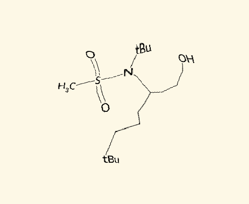 CC(C)(C)CCC(CO)N(C(C)(C)C)S(C)(=O)=O